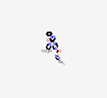 CCOC(=O)C1CCCN(c2c(N3CCN(C(=O)CSc4nccc(C)n4)CC3)cnn(-c3ccccc3)c2=O)C1